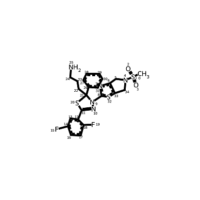 CS(=O)(=O)N1Cc2nc(N3N=C(c4cc(F)ccc4F)SC3(CCCN)c3ccccc3)sc2C1